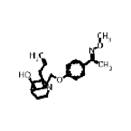 C=CCC1(COc2ccc(C(C)=NOC)cc2)C(O)C2CCN1CC2